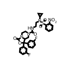 O=C(NCCN(C1CC1)S(=O)(=O)c1ccccc1[N+](=O)[O-])N1CCN2C(=O)OC(c3cccc(F)c3)(c3cccc(F)c3)C2C1